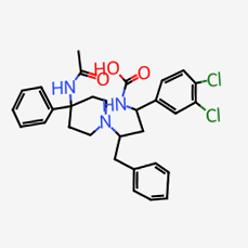 CC(=O)NC1(c2ccccc2)CCN(C(Cc2ccccc2)CC(NC(=O)O)c2ccc(Cl)c(Cl)c2)CC1